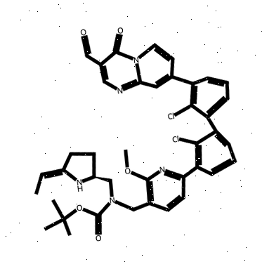 CC=C1CC[C@@H](CN(Cc2ccc(-c3cccc(-c4cccc(-c5ccn6c(=O)c(C=O)cnc6c5)c4Cl)c3Cl)nc2OC)C(=O)OC(C)(C)C)N1